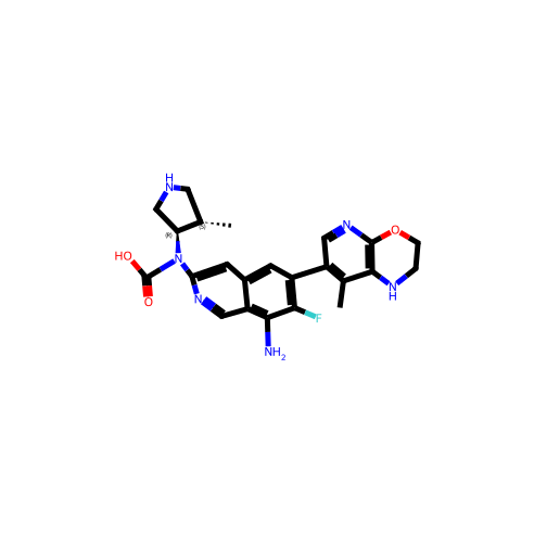 Cc1c(-c2cc3cc(N(C(=O)O)[C@H]4CNC[C@@H]4C)ncc3c(N)c2F)cnc2c1NCCO2